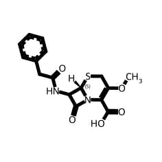 COC1=C(C(=O)O)N2C(=O)C(NC(=O)Cc3ccccc3)[C@@H]2SC1